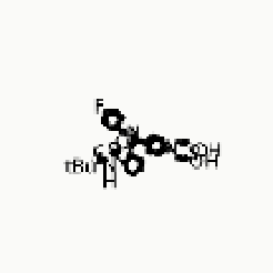 CC(C)(C)[C@@H](C#N)NC(=O)[C@@H]1CCCC[C@H]1c1oc(-c2ccc(F)cc2)nc1-c1ccc(N2CCS(O)(O)CC2)cc1